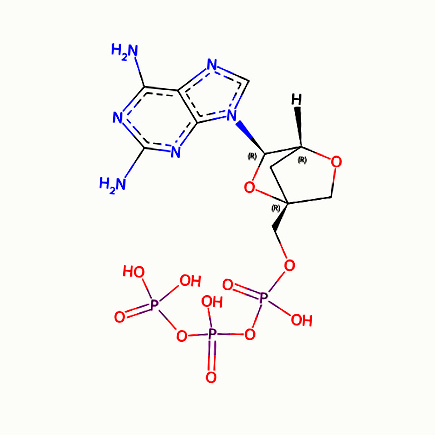 Nc1nc(N)c2ncn([C@@H]3O[C@@]4(COP(=O)(O)OP(=O)(O)OP(=O)(O)O)CO[C@@H]3C4)c2n1